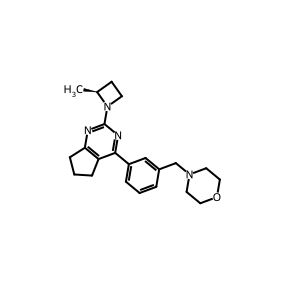 C[C@H]1CCN1c1nc2c(c(-c3cccc(CN4CCOCC4)c3)n1)CCC2